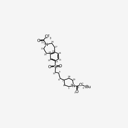 CC(C)(C)OC(=O)N1CCC(CCCS(=O)(=O)c2ccc3c(c2)CCN(C(=O)C(F)(F)F)CC3)CC1